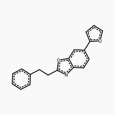 c1ccc(CCc2nc3ccc(-c4ccco4)cc3o2)cc1